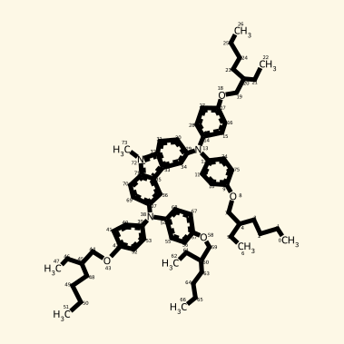 CCCCC(CC)COc1ccc(N(c2ccc(OCC(CC)CCCC)cc2)c2ccc3c(c2)c2cc(N(c4ccc(OCC(CC)CCCC)cc4)c4ccc(OCC(CC)CCCC)cc4)ccc2n3C)cc1